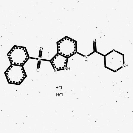 Cl.Cl.O=C(Nc1cccc2c(S(=O)(=O)c3cccc4ccccc34)n[nH]c12)C1CCNCC1